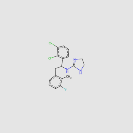 Cc1c(F)cccc1CC(NC1=NCCN1)c1cccc(Cl)c1Cl